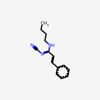 CCCCNC(C=Cc1ccccc1)=NC#N